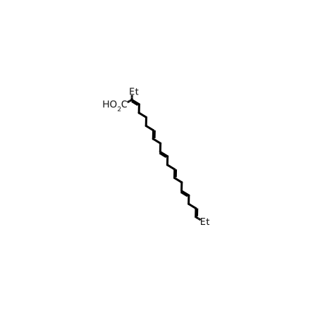 CCC=CCC=CCC=CCC=CCC=CCCCC=C(CC)C(=O)O